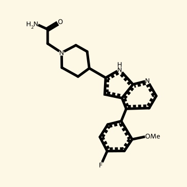 COc1cc(F)ccc1-c1ccnc2[nH]c(C3CCN(CC(N)=O)CC3)cc12